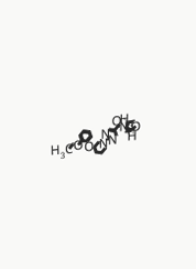 CCOc1ccccc1OC1CCCN(c2ncc(C(=O)N3C[C@H]4C[C@@H]3CO4)cn2)C1